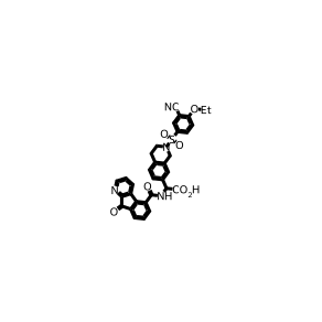 CCOc1ccc(S(=O)(=O)N2CCc3ccc(C(NC(=O)c4cccc5c4-c4cccnc4C5=O)C(=O)O)cc3C2)cc1C#N